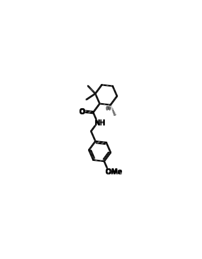 COc1ccc(CNC(=O)C2[C@@H](C)CCCC2(C)C)cc1